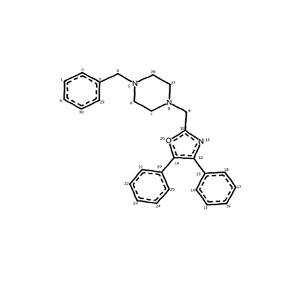 c1ccc(CN2CCN(Cc3nc(-c4ccccc4)c(-c4ccccc4)o3)CC2)cc1